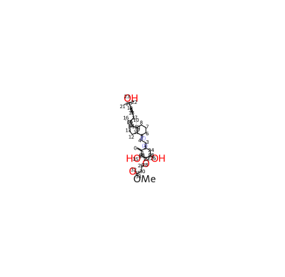 C=C1/C(=C\C=C2/CCC[C@@]3(C)C2CC[C@@H]3[C@H](C)CC#CC(C)(C)O)C[C@@H](O)[C@H](OCCC(=O)OC)[C@@H]1O